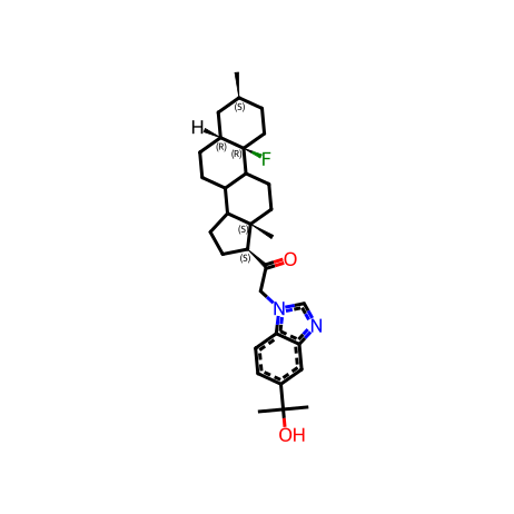 C[C@H]1CC[C@]2(F)C3CC[C@@]4(C)C(CC[C@@H]4C(=O)Cn4cnc5cc(C(C)(C)O)ccc54)C3CC[C@@H]2C1